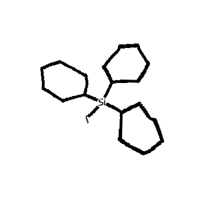 I[Si](C1CCCCC1)(C1CCCCC1)C1CCCCC1